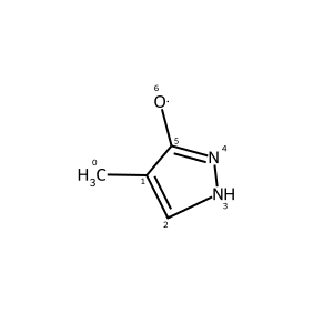 Cc1c[nH]nc1[O]